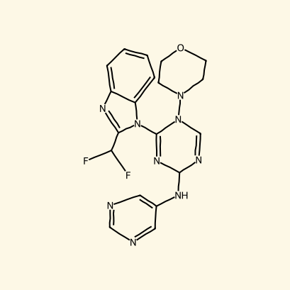 FC(F)c1nc2ccccc2n1C1=NC(Nc2cncnc2)N=CN1N1CCOCC1